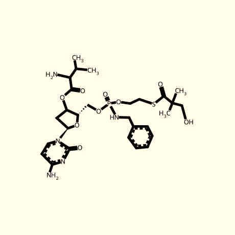 CC(C)C(N)C(=O)OC1C[C@H](n2ccc(N)nc2=O)O[C@H]1COP(=O)(NCc1ccccc1)OCCSC(=O)C(C)(C)CO